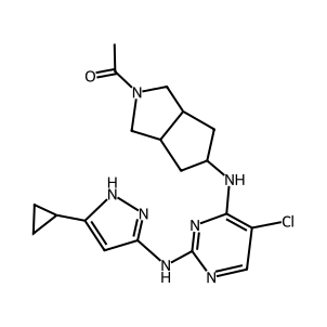 CC(=O)N1CC2CC(Nc3nc(Nc4cc(C5CC5)[nH]n4)ncc3Cl)CC2C1